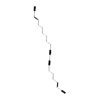 C#C/C=C/CCCC#CC#CCCCCCC/C=C/C#C